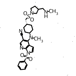 CNCC1CCN(S(=O)(=O)C[C@H]2CC[C@H](N(C)c3c(C#N)cnc4c3ccn4S(=O)(=O)c3ccccc3)CC2)C1